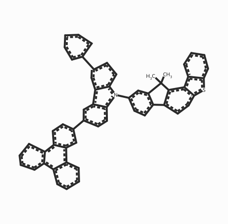 CC1(C)c2cc(-n3c4ccc(-c5ccccc5)cc4c4cc(-c5ccc6c7ccccc7c7ccccc7c6c5)ccc43)ccc2-c2ccc3sc4ccccc4c3c21